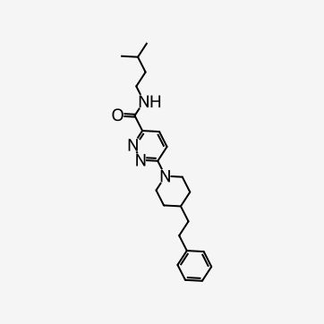 CC(C)CCNC(=O)c1ccc(N2CCC(CCc3ccccc3)CC2)nn1